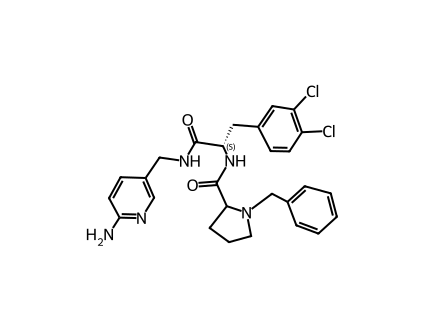 Nc1ccc(CNC(=O)[C@H](Cc2ccc(Cl)c(Cl)c2)NC(=O)C2CCCN2Cc2ccccc2)cn1